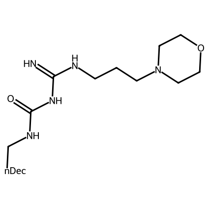 CCCCCCCCCCCNC(=O)NC(=N)NCCCN1CCOCC1